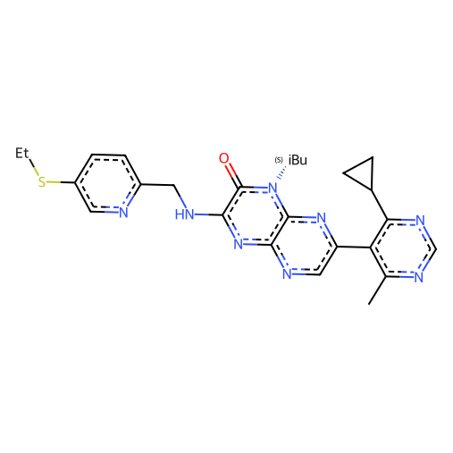 CCSc1ccc(CNc2nc3ncc(-c4c(C)ncnc4C4CC4)nc3n([C@@H](C)CC)c2=O)nc1